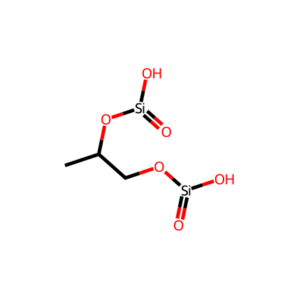 CC(CO[Si](=O)O)O[Si](=O)O